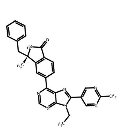 CCn1c(-c2cnc(C)nc2)nc2c(-c3ccc4c(c3)[C@](C)(Cc3ccccc3)NC4=O)ncnc21